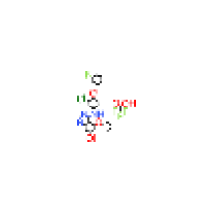 O=C(O)C(F)(F)F.Oc1cc(OC2CCCC2)c2c(Nc3ccc(OCc4cccc(F)c4)c(Cl)c3)ncnc2c1